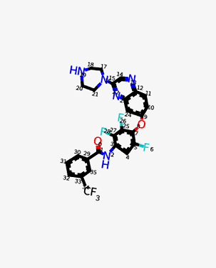 O=C(Nc1cc(F)c(Oc2ccc3ncc(N4CCNCC4)nc3c2)c(F)c1F)c1cccc(C(F)(F)F)c1